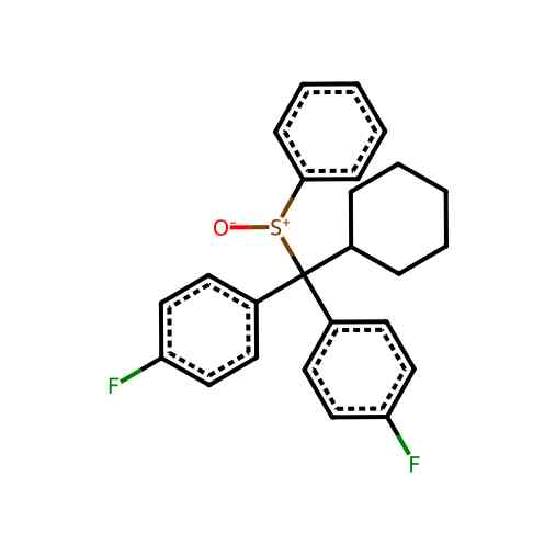 [O-][S+](c1ccccc1)C(c1ccc(F)cc1)(c1ccc(F)cc1)C1CCCCC1